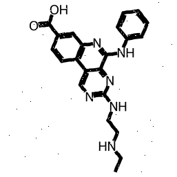 CCNCCNc1ncc2c(n1)c(Nc1ccccc1)nc1cc(C(=O)O)ccc12